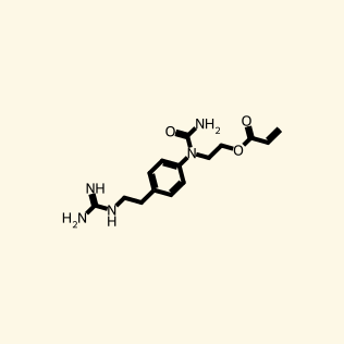 C=CC(=O)OCCN(C(N)=O)c1ccc(CCNC(=N)N)cc1